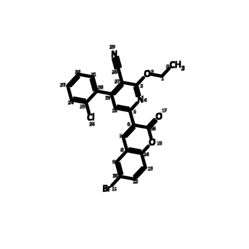 CCOc1nc(-c2cc3cc(Br)ccc3oc2=O)cc(-c2ccccc2Cl)c1C#N